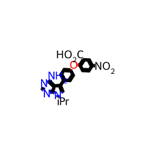 CC(C)n1cc(-c2ccc(Oc3ccc([N+](=O)[O-])cc3C(=O)O)cc2)c2c(N)ncnc21